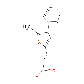 Cc1sc(CCC(=O)O)cc1-c1ccccc1